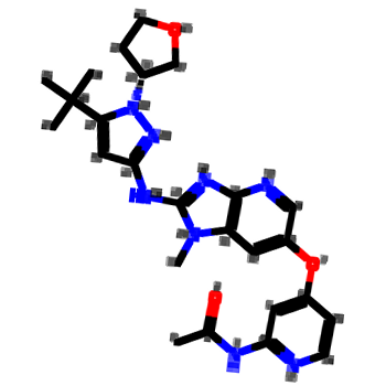 CC(=O)Nc1cc(Oc2cnc3nc(Nc4cc(C(C)(C)C)n([C@@H]5CCOC5)n4)n(C)c3c2)ccn1